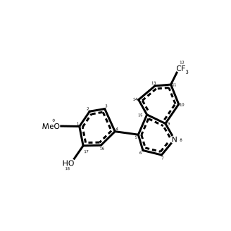 COc1ccc(-c2ccnc3cc(C(F)(F)F)ccc23)cc1O